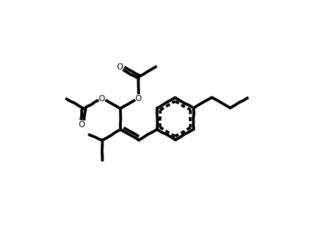 CCCc1ccc(C=C(C(C)C)C(OC(C)=O)OC(C)=O)cc1